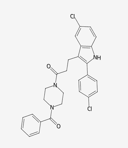 O=C(CCc1c(-c2ccc(Cl)cc2)[nH]c2ccc(Cl)cc12)N1CCN(C(=O)c2ccccc2)CC1